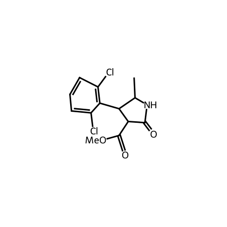 COC(=O)C1C(=O)NC(C)C1c1c(Cl)cccc1Cl